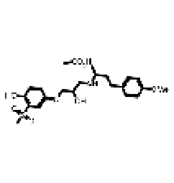 CC(=O)O.COc1ccc(CCC(C)NCC(O)COc2ccc(O)c(S(C)(=O)=O)c2)cc1